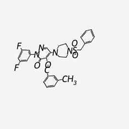 Cc1cccc(COc2c(N3CCN(S(=O)(=O)Cc4ccccc4)CC3)cnn(-c3cc(F)cc(F)c3)c2=O)c1